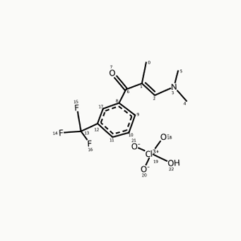 CC(=CN(C)C)C(=O)c1cccc(C(F)(F)F)c1.[O-][Cl+3]([O-])([O-])O